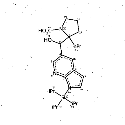 CCCC1(C(O)c2cnc3c(ccn3[Si](C(C)C)(C(C)C)C(C)C)c2)CCCN1C(=O)O